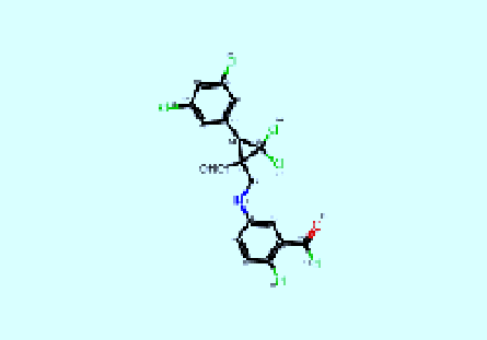 O=CC1(CNc2ccc(Cl)c(C(=O)Cl)c2)C(c2cc(Cl)cc(Cl)c2)C1(Cl)Cl